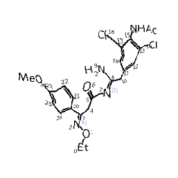 CCO/N=C(\CC(=O)/N=C(\N)Cc1cc(Cl)c(NC(C)=O)c(Cl)c1)c1ccc(OC)cc1